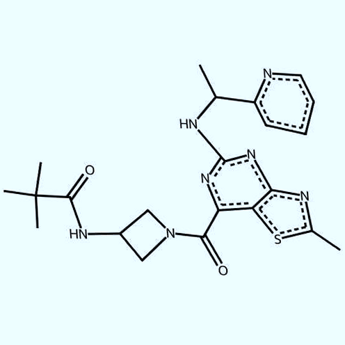 Cc1nc2nc(NC(C)c3ccccn3)nc(C(=O)N3CC(NC(=O)C(C)(C)C)C3)c2s1